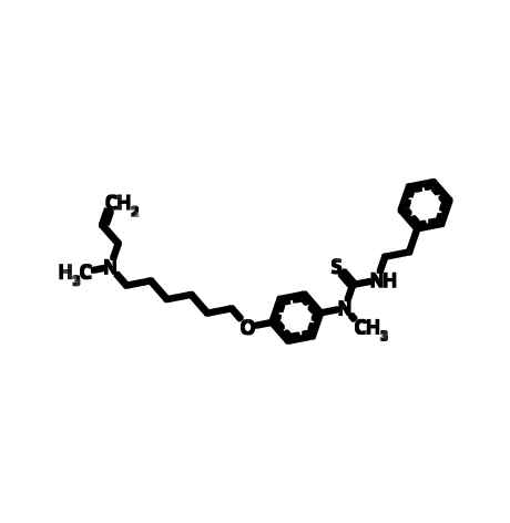 C=CCN(C)CCCCCCOc1ccc(N(C)C(=S)NCCc2ccccc2)cc1